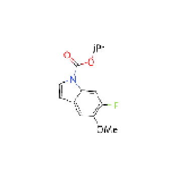 COc1cc2ccn(C(=O)OC(C)C)c2cc1F